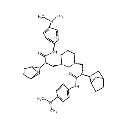 CN(C)c1ccc(NC(=O)N(C[C@@H]2CCC[C@H](CN(C(=O)Nc3ccc(N(C)C)cc3)C3CC4CCC3C4)C2)C2CC3CCC2C3)cc1